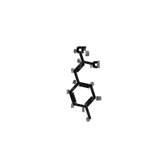 Cc1ccc(C=C(Cl)C(F)(F)F)cc1